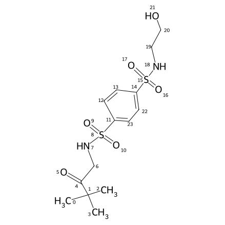 CC(C)(C)C(=O)CNS(=O)(=O)c1ccc(S(=O)(=O)NCCO)cc1